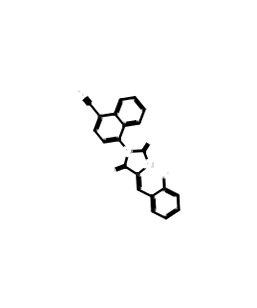 N#Cc1ccc(N2C(=O)N/C(=C\c3ccccc3O)C2=O)c2ccccc12